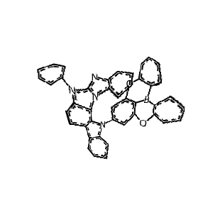 c1ccc(-n2c3ccc4c5ccccc5n(-c5cc6c7c(c5)Oc5ccccc5B7c5ccccc5O6)c4c3n3c4ccccc4nc23)cc1